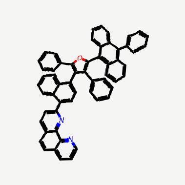 c1ccc(-c2oc(-c3c4ccccc4c(-c4ccccc4)c4ccccc34)c(-c3ccccc3)c2-c2ccc(-c3ccc4ccc5cccnc5c4n3)c3ccccc23)cc1